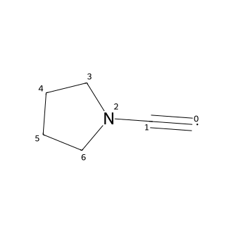 [C]#CN1CCCC1